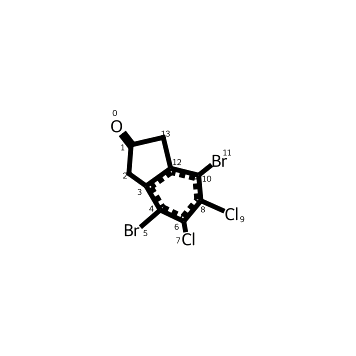 O=C1Cc2c(Br)c(Cl)c(Cl)c(Br)c2C1